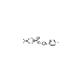 Cc1ccc(N2CC(OC(=O)N3CCN(C(C)C)CC3)C2)nc1